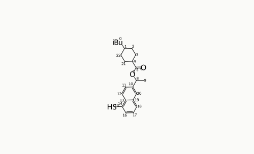 CCC(C)C1CCC(C(=O)OC(C)c2ccc3c(S)cccc3c2)CC1